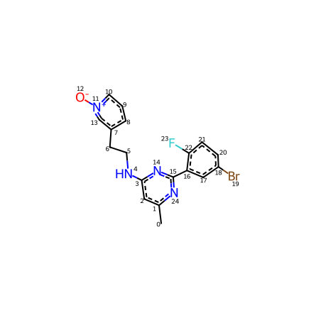 Cc1cc(NCCc2ccc[n+]([O-])c2)nc(-c2cc(Br)ccc2F)n1